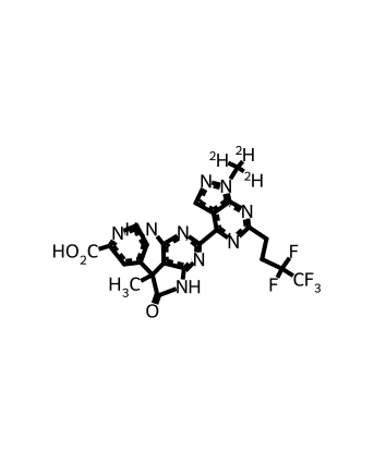 [2H]C([2H])([2H])n1ncc2c(-c3nc(N)c4c(n3)NC(=O)C4(C)c3ccnc(C(=O)O)c3)nc(CCC(F)(F)C(F)(F)F)nc21